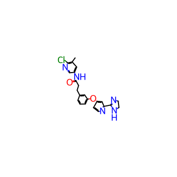 Cc1cc(NC(=O)CCc2cccc(Oc3ccnc(C4=NCCN4)c3)c2)cnc1Cl